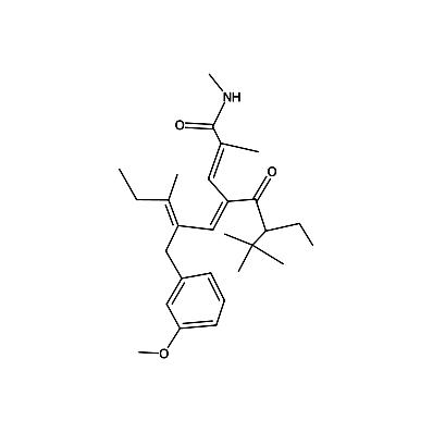 CC/C(C)=C(/C=C(\C=C(/C)C(=O)NC)C(=O)C(CC)C(C)(C)C)Cc1cccc(OC)c1